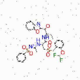 CC[C@H](NC(=O)C(CS(=O)(=O)Cc1ccccc1OC(F)F)N/C(C)=N/S(=O)(=O)c1ccccc1)C(=O)c1nc2ccccc2o1